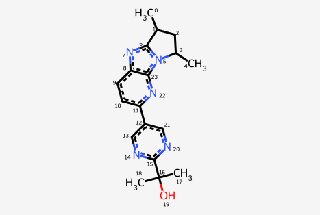 CC1CC(C)n2c1nc1ccc(-c3cnc(C(C)(C)O)nc3)nc12